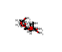 C[C@H](NC(=O)[C@H](CCN)NC(=O)[C@@H](N)CCCCN)C(=O)NCC(=O)N[C@H](CCCN)C(=O)N1CCC[C@H]1C(=O)N[C@@H](Cc1cnc[nH]1)C(=O)N[C@@H](CCCCN)C(=O)N/C(=C\CCNC(=N)N)C(=O)N[C@@H](CCCCN)C(=O)NCCCCCN